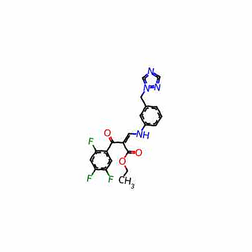 CCOC(=O)C(=CNc1cccc(Cn2cncn2)c1)C(=O)c1cc(F)c(F)cc1F